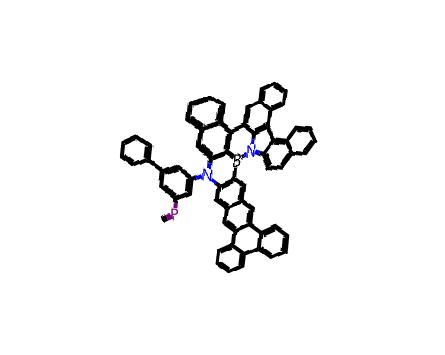 C=Pc1cc(-c2ccccc2)cc(N2c3cc4cc5c6ccccc6c6ccccc6c5cc4cc3B3c4c2cc2ccccc2c4-c2cc4ccccc4c4c5c6ccccc6ccc5n3c24)c1